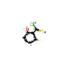 Fc1cccc(Br)c1C(=S)Cl